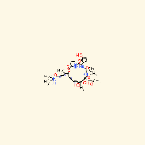 CC(=O)CC[C@H]1C(=O)N[C@@H](C(C)C)C(=O)NC(c2cccc(O)c2)C(=O)N2CCCC(N2)C(=O)O[C@H](/C(C)=C/C=C/C(=O)NC(C)C)C/C=C/C=C/[C@H](O)[C@H](C)[C@H]1O